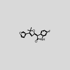 CC1(C)O/C(=C2/C(=O)Nc3cc(F)ccc32)C=C1c1ccoc1